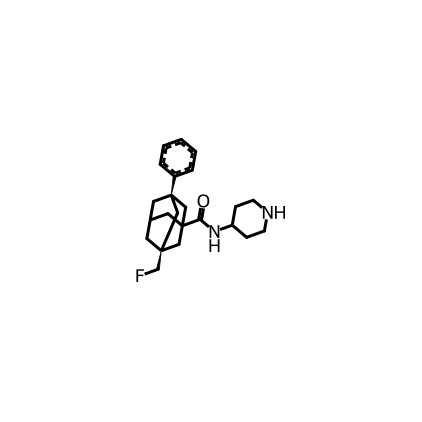 O=C(NC1CCNCC1)C12CC3C[C@@](CF)(C1)C[C@](c1ccccc1)(C3)C2